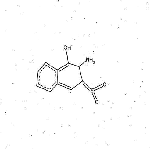 NC1C(O)=c2ccccc2=CC1=S(=O)=O